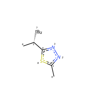 Cc1nnc([C@H](C)C(C)(C)C)s1